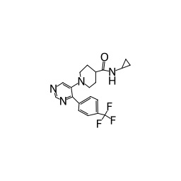 O=C(NC1CC1)C1CCN(c2cncnc2-c2ccc(C(F)(F)F)cc2)CC1